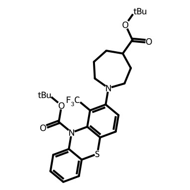 CC(C)(C)OC(=O)C1CCCN(c2ccc3c(c2C(F)(F)F)N(C(=O)OC(C)(C)C)c2ccccc2S3)CC1